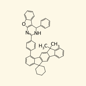 CC1(C)c2ccccc2-c2cc3c(cc21)-c1c(-c2ccc(C4=Nc5oc6ccccc6c5C(c5ccccc5)N4)cc2)cccc1C31CCCCC1